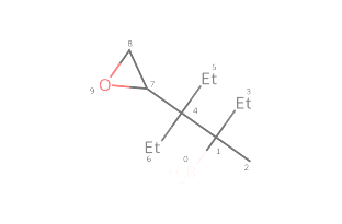 BC(C)(CC)C(CC)(CC)C1CO1